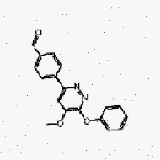 COc1cc(-c2ccc(C=O)cc2)nnc1Oc1ccccc1